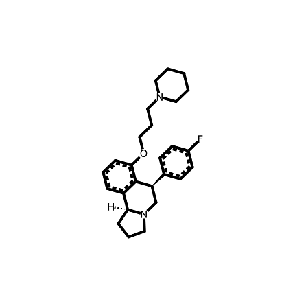 Fc1ccc([C@H]2CN3CCC[C@H]3c3cccc(OCCCN4CCCCC4)c32)cc1